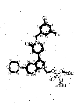 CC(C)(C)OP(=O)(OCn1cc(-c2ccn(Cc3cc(F)cc(Cl)c3)c(=O)c2)c2cc(N3CCOCC3)cnc21)OC(C)(C)C